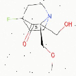 COC[C@@]1(CO)C(=O)C2(F)CCN1CC2